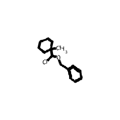 CC1(C(Cl)OCc2ccccc2)CCCCC1